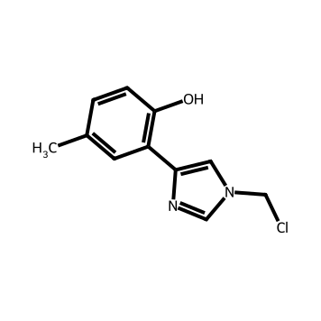 Cc1ccc(O)c(-c2cn(CCl)cn2)c1